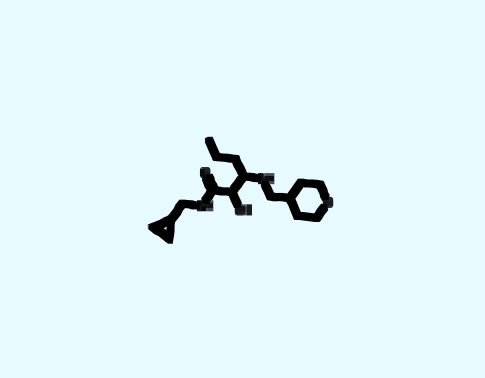 CCCC(NCC1CCOCC1)C(O)C(=O)NCC1CC1